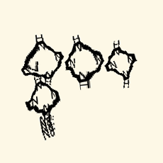 C1=Cc2cc3ccc(cc4nc(cc5ccc(cc1n2)[nH]5)C=C4)[nH]3.C1=Cc2cc3ccc(cc4nc(cc5ccc(cc1n2)[nH]5)C=C4)[nH]3.C1=Cc2cc3ccc(cc4nc(cc5ccc(cc1n2)[nH]5)C=C4)[nH]3.C1=Cc2cc3ccc(cc4nc(cc5ccc(cc1n2)[nH]5)C=C4)[nH]3.[Na].[Na].[Na].[Na]